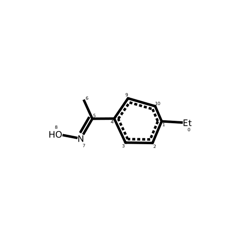 CCc1ccc(C(C)=NO)cc1